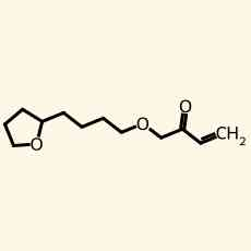 C=CC(=O)COCCCCC1CCCO1